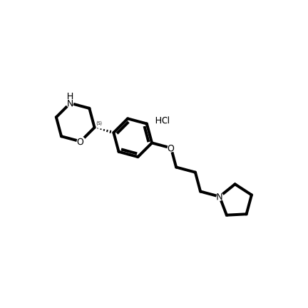 Cl.c1cc([C@H]2CNCCO2)ccc1OCCCN1CCCC1